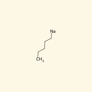 CCCC[CH2][Na]